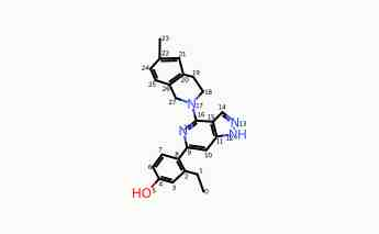 CCc1cc(O)ccc1-c1cc2[nH]ncc2c(N2CCc3cc(C)ccc3C2)n1